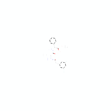 C[C@H](NC(=O)Cc1cc(F)cc(F)c1)C(=O)NC(C(=O)OC(C)(C)C)c1ccccc1